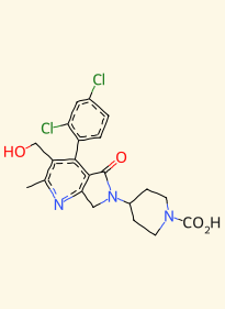 Cc1nc2c(c(-c3ccc(Cl)cc3Cl)c1CO)C(=O)N(C1CCN(C(=O)O)CC1)C2